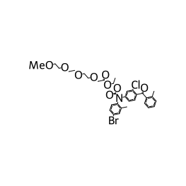 COCCOCCOCCOCC(=O)OC(C)OC(=O)N(c1ccc(C(=O)c2ccccc2C)c(Cl)c1)c1ccc(Br)cc1C